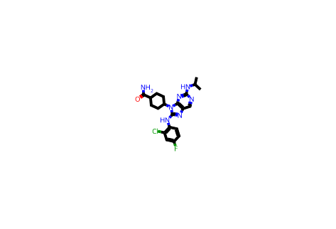 CC(C)Nc1ncc2nc(Nc3ccc(F)cc3Cl)n(C3CCC(C(N)=O)CC3)c2n1